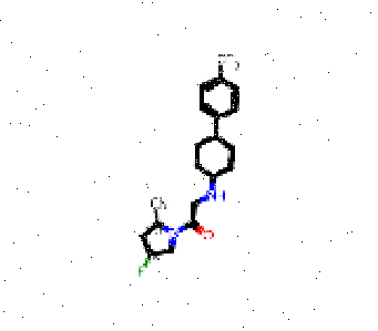 N#C[C@@H]1C[C@H](F)CN1C(=O)CNC1CCC(c2ccc(C(F)(F)F)cc2)CC1